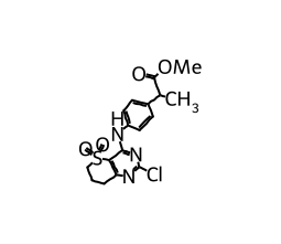 COC(=O)C(C)c1ccc(Nc2nc(Cl)nc3c2S(=O)(=O)CCC3)cc1